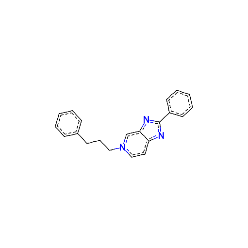 c1ccc(CCCn2ccc3nc(-c4ccccc4)nc-3c2)cc1